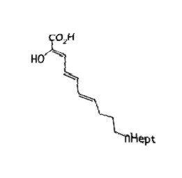 CCCCCCCCCCC=CC=CC=C(O)C(=O)O